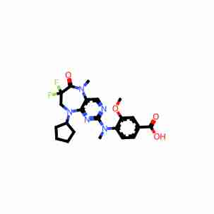 COc1cc(C(=O)O)ccc1N(C)c1ncc2c(n1)N(C1CCCC1)CC(F)(F)C(=O)N2C